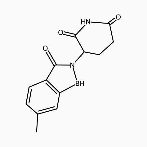 Cc1ccc2c(c1)BN(C1CCC(=O)NC1=O)C2=O